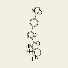 C[C@H]1[C@H](NC(=O)c2ccc(-c3ccc(-c4ncco4)cc3)o2)C2CCN1CC2